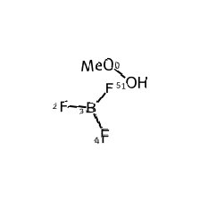 COO.FB(F)F